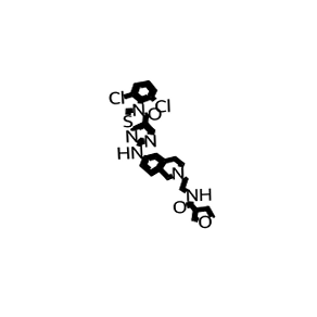 O=C(NCCN1CCc2cc(Nc3ncc4c(n3)SCN(c3c(Cl)cccc3Cl)C4=O)ccc2C1)C1CCOC1